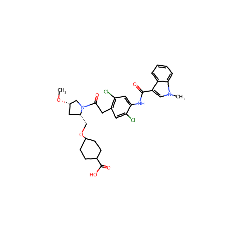 CO[C@H]1C[C@@H](COC2CCC(C(=O)O)CC2)N(C(=O)Cc2cc(Cl)c(NC(=O)c3cn(C)c4ccccc34)cc2Cl)C1